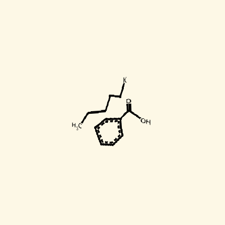 CCCC[CH2][K].O=C(O)c1ccccc1